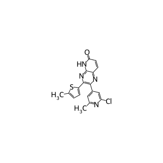 Cc1cc(-c2nc3ccc(=O)[nH]c3nc2-c2ccc(C)s2)cc(Cl)n1